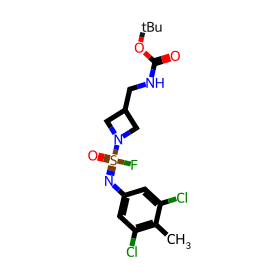 Cc1c(Cl)cc(N=S(=O)(F)N2CC(CNC(=O)OC(C)(C)C)C2)cc1Cl